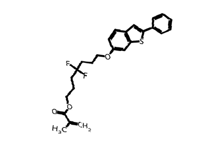 C=C(C)C(=O)OCCCC(F)(F)CCCOc1ccc2cc(-c3ccccc3)sc2c1